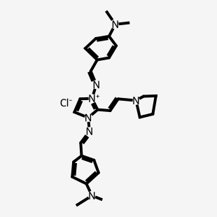 CN(C)c1ccc(/C=N/n2cc[n+](/N=C/c3ccc(N(C)C)cc3)c2/C=C/N2CCCC2)cc1.[Cl-]